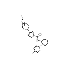 CCCN1CCC(c2nc(C(=O)Nc3ccccc3-c3ccc(C)cc3)cs2)CC1